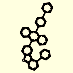 c1ccc(-c2ccc(-c3c4ccccc4c(-c4ccc5oc6cccc(-c7ccccc7)c6c5c4)c4ccccc34)cc2)cc1